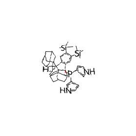 C[Si](C)(C)c1cc(CP(c2cc[nH]c2)c2cc[nH]c2)c(C(P)(C23CC4CC(CC(C4)C2)C3)C23CC4CC(CC(C4)C2)C3)cc1[Si](C)(C)C